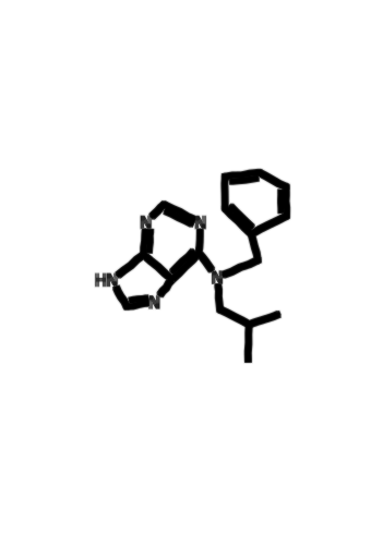 CC(C)CN(Cc1ccccc1)c1ncnc2[nH]cnc12